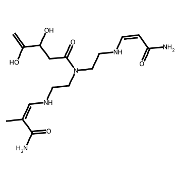 C=C(O)C(O)CC(=O)N(CCN/C=C\C(N)=O)CCN/C=C(/C)C(N)=O